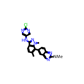 CNc1ncc2cc(-c3c(C)ccc4c(Nc5cnc(Cl)nc5)nn(C)c34)ccc2n1